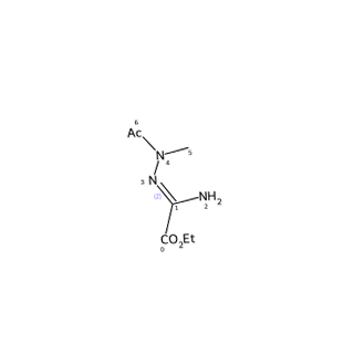 CCOC(=O)/C(N)=N/N(C)C(C)=O